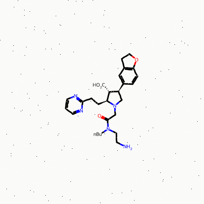 CCCCN(CCN)C(=O)CN1C[C@H](c2ccc3c(c2)CCO3)[C@@H](C(=O)O)[C@@H]1CCc1ncccn1